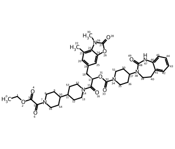 CCOC(=O)C(=O)N1CCC(C2CCN(C(=O)[C@@H](Cc3cc(C)c4c(c3)oc(=O)n4C)OC(=O)N3CCC(N4CCc5ccccc5NC4=O)CC3)CC2)CC1